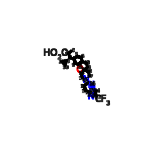 C[C@H](C(=O)O)[C@H](c1ccc2c(c1)OC1(CC2)CCN(c2ccc3nc(C(F)(F)F)cn3n2)CC1)C1CC1